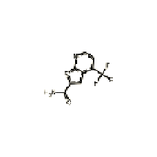 NC(=O)c1cc2c(C(F)(F)F)ccnc2s1